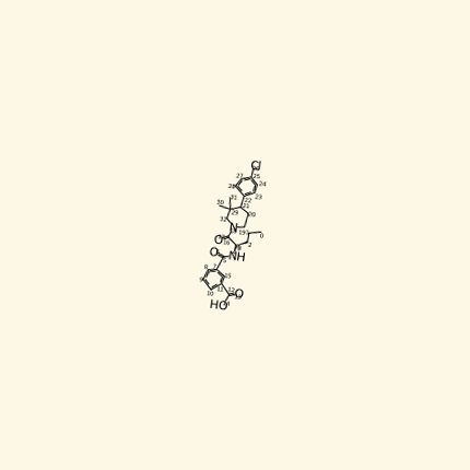 CCC[C@@H](NC(=O)c1cccc(C(=O)O)c1)C(=O)N1CCC(c2ccc(Cl)cc2)C(C)(C)C1